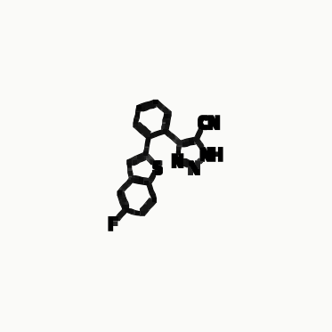 N#Cc1[nH]nnc1-c1ccccc1-c1cc2cc(F)ccc2s1